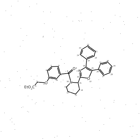 CCOC(=O)COc1cccc(C(=O)N2CCCCC2c2nc(-c3ccccc3)c(-c3ccccc3)o2)c1